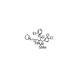 CCc1ccccc1OC(=O)C1=C(COCCN2CCCCC2)NC(SC)=NC1c1ccc(Cl)c(Cl)c1